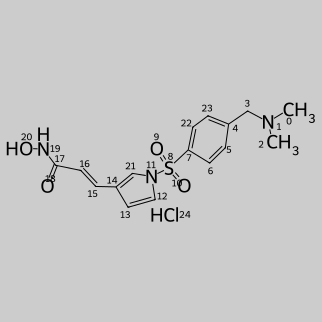 CN(C)Cc1ccc(S(=O)(=O)n2ccc(C=CC(=O)NO)c2)cc1.Cl